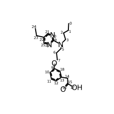 CCCCN(CCCOc1cccc(CC(=O)O)c1)c1ncc(CC)cn1